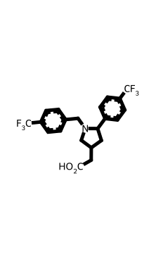 O=C(O)CC1CC(c2ccc(C(F)(F)F)cc2)N(Cc2ccc(C(F)(F)F)cc2)C1